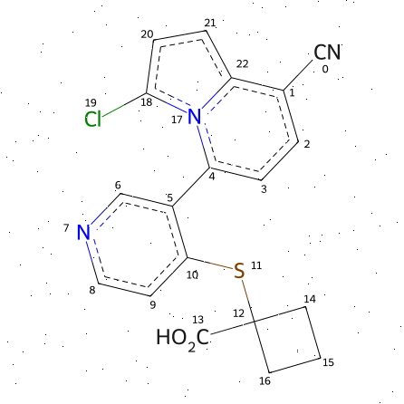 N#Cc1ccc(-c2cnccc2SC2(C(=O)O)CCC2)n2c(Cl)ccc12